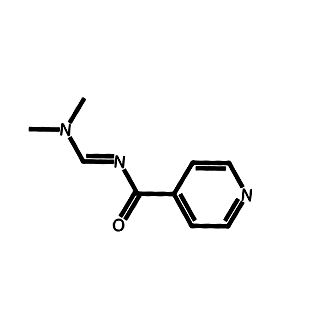 CN(C)/C=N/C(=O)c1ccncc1